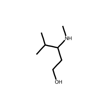 CNC(CCO)C(C)C